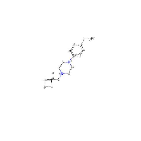 CC(C)Cc1ccc(N2CCN(CC3(C)CCC3)CC2)cc1